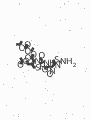 CO/N=C(\C(=O)N[C@@H]1C(=O)N2C(C(=O)OC(C)OC(=O)OC(C)C)=C(COC(C)=O)CS[C@H]12)c1csc(N)n1